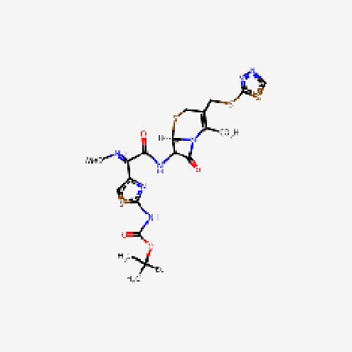 CCC(C)(C)OC(=O)Nc1nc(/C(=N\OC)C(=O)NC2C(=O)N3C(C(=O)O)=C(CSc4nncs4)CS[C@H]23)cs1